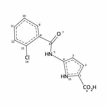 O=C(O)c1ccc(NC(=O)c2ccccc2Cl)[nH]1